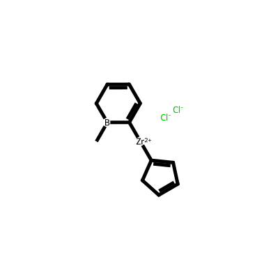 CB1CC=CC=[C]1[Zr+2][C]1=CC=CC1.[Cl-].[Cl-]